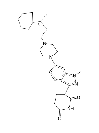 C[C@H](CCN1CCN(c2ccc3c(C4CCC(=O)NC4=O)nn(C)c3c2)CC1)C1CCCCC1